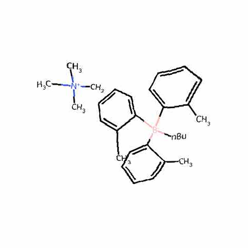 CCCC[B-](c1ccccc1C)(c1ccccc1C)c1ccccc1C.C[N+](C)(C)C